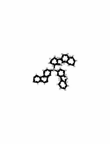 c1ccc2c(c1)ccc1cc(N(c3ccc4sc5ccccc5c4c3)c3cccc4c3sc3c5ccccc5ccc43)ccc12